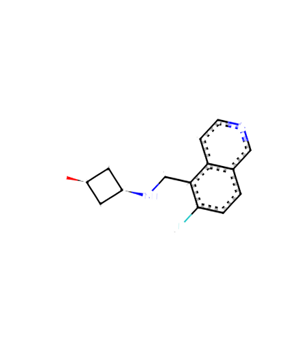 O[C@H]1C[C@@H](NCc2c(F)ccc3cnccc23)C1